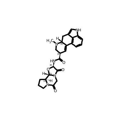 CN1C[C@H](C(=O)N[C@@H]2O[C@H]3[C@@H]4CCCN4C(=O)CN3C2=O)C=C2c3cccc4[nH]cc(c34)C[C@H]21